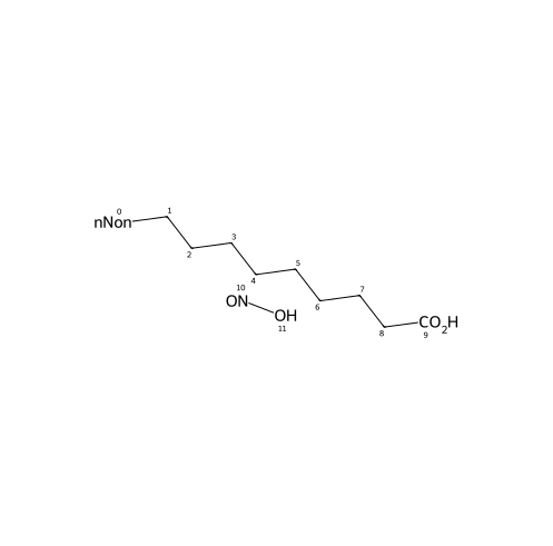 CCCCCCCCCCCCCCCCCC(=O)O.O=NO